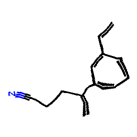 C=Cc1cccc(C(=C)CCC#N)c1